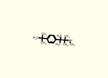 CNC(C)(C)C(C)(C)c1ccc(C(C)(C)C)cc1